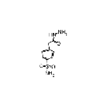 NNC(=O)Cc1ccc(S(N)(=O)=O)cc1